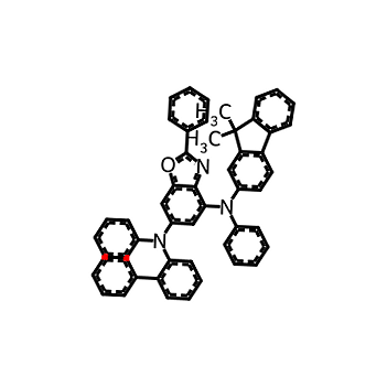 CC1(C)c2ccccc2-c2ccc(N(c3ccccc3)c3cc(N(c4ccccc4)c4ccccc4-c4ccccc4)cc4oc(-c5ccccc5)nc34)cc21